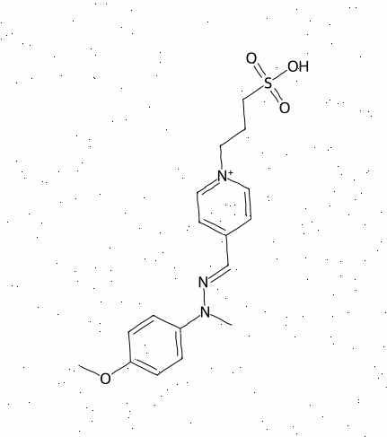 COc1ccc(N(C)N=Cc2cc[n+](CCCS(=O)(=O)O)cc2)cc1